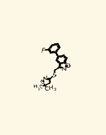 CC1(C)CC(SCc2noc3ccc(-c4cccc(F)c4)cc23)=NO1